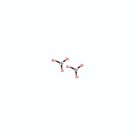 [Br][Pb]([Br])[Br].[Br][Pb]([Br])[Br]